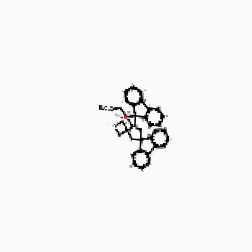 CCOC(=O)CCC1(CC2(CC3(CCC(=O)OCC)c4ccccc4-c4ccccc43)COC2)c2ccccc2-c2ccccc21